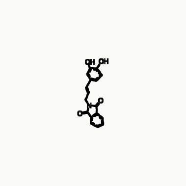 O=C1c2ccccc2C(=O)N1C/C=C/c1ccc(O)c(O)c1